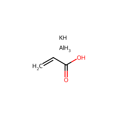 C=CC(=O)O.[AlH3].[KH]